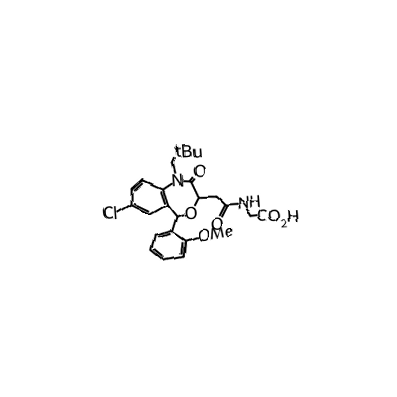 COc1ccccc1C1OC(CC(=O)NCC(=O)O)C(=O)N(CC(C)(C)C)c2ccc(Cl)cc21